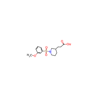 COc1cccc(S(=O)(=O)N2CCCC(CCC(=O)O)C2)c1